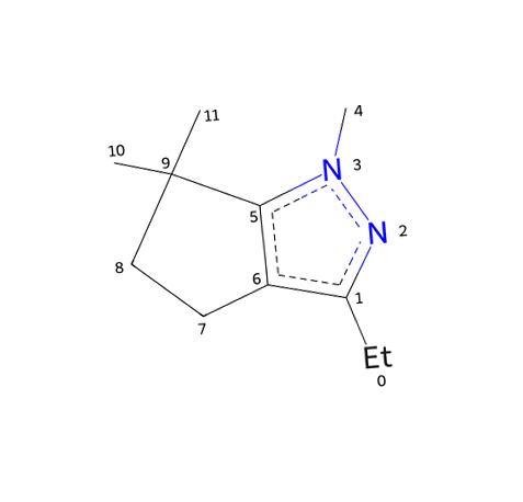 CCc1nn(C)c2c1CCC2(C)C